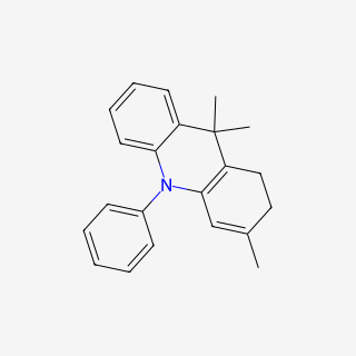 CC1=CC2=C(CC1)C(C)(C)c1ccccc1N2c1ccccc1